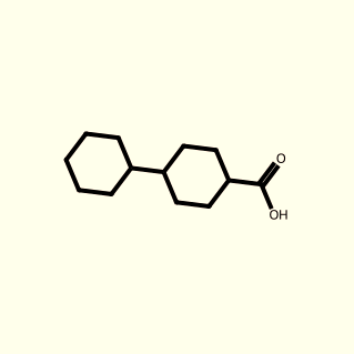 O=C(O)C1CCC(C2CCCCC2)CC1